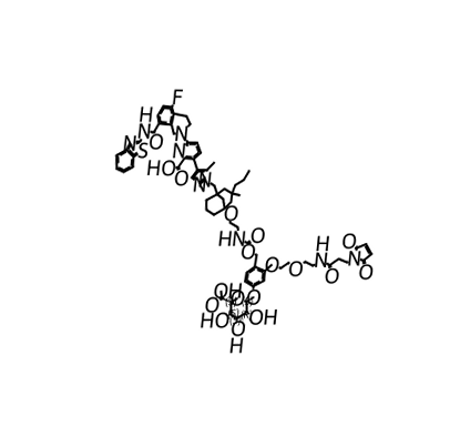 CCCC1(C)CC2(Cn3ncc(-c4ccc(N5CCc6c(F)ccc(C(=O)Nc7nc8ccccc8s7)c6C5)nc4C(=O)O)c3C)CCCC(OCCNC(=O)OCc3ccc(O[C@@H]4O[C@H](C(=O)O)[C@@H](O)[C@H](O)[C@H]4O)cc3OCCOCCNC(=O)CCN3C(=O)C=CC3=O)(C1)C2